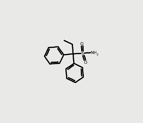 CCC(c1ccccc1)(c1ccccc1)S(N)(=O)=O